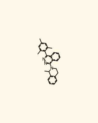 Cc1cc(C)c(-c2nnc(N3CCc4ccccc4C3C)c3ccccc23)c(C)c1